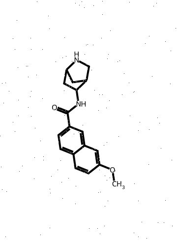 COc1ccc2ccc(C(=O)NC3CC4CC3CN4)cc2c1